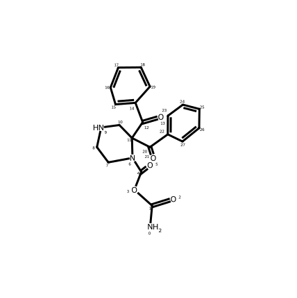 NC(=O)OC(=O)N1CCNCC1(C(=O)c1ccccc1)C(=O)c1ccccc1